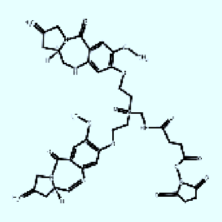 C=C1C[C@H]2CNc3cc(OCCP(=O)(CCOc4cc5c(cc4OC)C(=O)N4CC(=C)C[C@H]4C=N5)CNC(=O)CCC(=O)ON4C(=O)CCC4=O)c(OC)cc3C(=O)N2C1